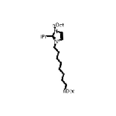 CCCCCCCCCCCCCCCCCC[n+]1ccn(CCCCCCCC)c1C(C)C